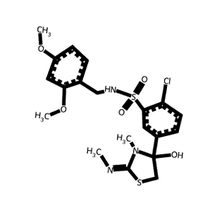 CN=C1SCC(O)(c2ccc(Cl)c(S(=O)(=O)NCc3ccc(OC)cc3OC)c2)N1C